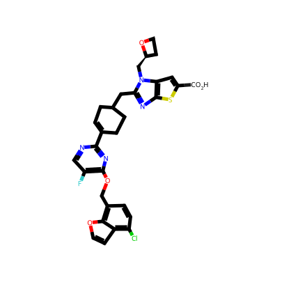 O=C(O)c1cc2c(nc(CC3CC=C(c4ncc(F)c(OCc5ccc(Cl)c6ccoc56)n4)CC3)n2C[C@@H]2CCO2)s1